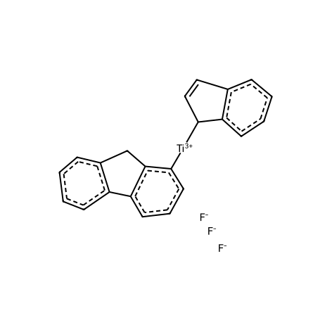 C1=C[CH]([Ti+3][c]2cccc3c2Cc2ccccc2-3)c2ccccc21.[F-].[F-].[F-]